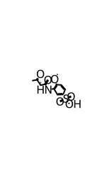 COc1ccc(S(=O)(=O)O)cc1NC(=O)[CH]C(C)=O